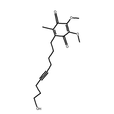 COC1=C(OC)C(=O)C(CCCCC#CCCCO)=C(C)C1=O